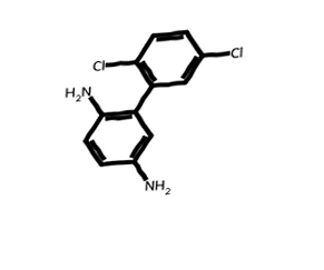 Nc1ccc(N)c(-c2cc(Cl)ccc2Cl)c1